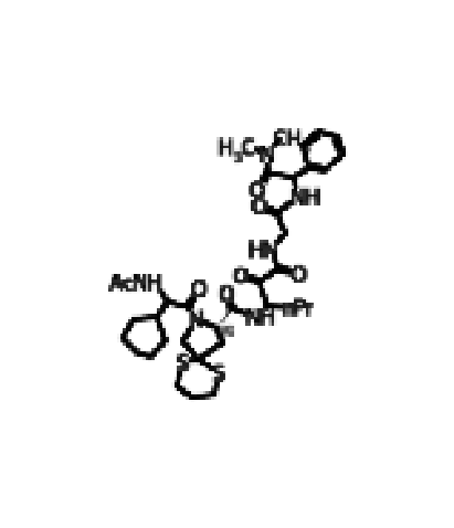 CCCC(NC(=O)[C@@H]1CC2(CN1C(=O)C(NC(C)=O)C1CCCCC1)SCCCS2)C(=O)C(=O)NCC(=O)NC(C(=O)N(C)C)c1ccccc1